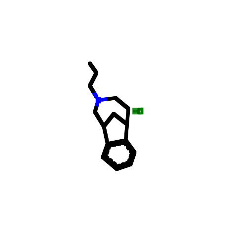 CCCN1CCC2CC(C1)c1ccccc12.Cl